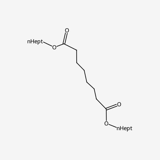 CCCCCCCOC(=O)CCCCCCC(=O)OCCCCCCC